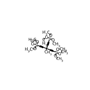 CO[Si](C#CC(C)(C#C[Si](OC)(OC)OC)C#C[Si](OC)(OC)OC)(OC)OC